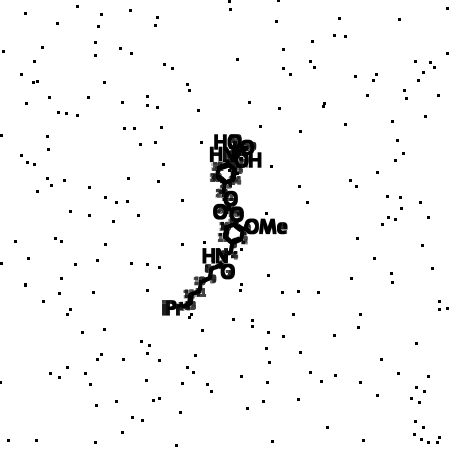 COc1cc(CNC(=O)CCCC/C=C/C(C)C)ccc1OC(=O)OCc1ccc(NP(=O)(O)O)cc1